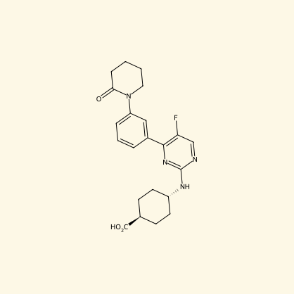 O=C1CCCCN1c1cccc(-c2nc(N[C@H]3CC[C@H](C(=O)O)CC3)ncc2F)c1